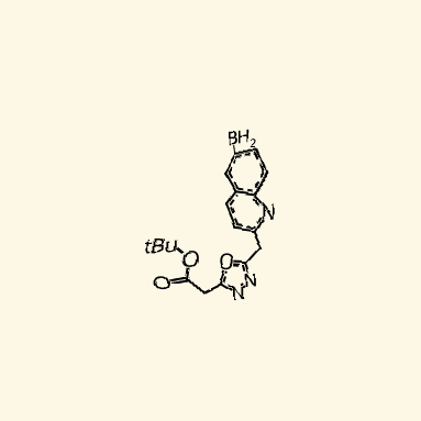 Bc1ccc2nc(Cc3nnc(CC(=O)OC(C)(C)C)o3)ccc2c1